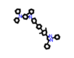 Cc1cc(-c2cc(-c3ccccc3)nc(-c3ccccc3)n2)cc(C)c1-c1ccc(-c2ccc(-n3c4ccccc4c4cc(N(c5ccccc5)c5ccccc5)ccc43)cc2)cc1